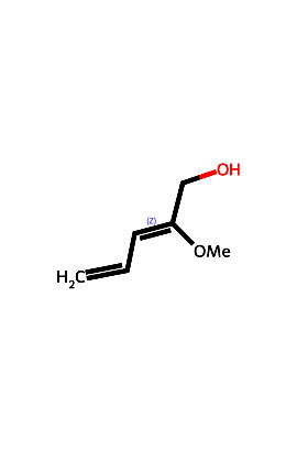 C=C/C=C(/CO)OC